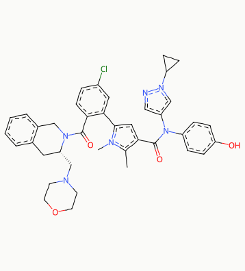 Cc1c(C(=O)N(c2ccc(O)cc2)c2cnn(C3CC3)c2)cc(-c2cc(Cl)ccc2C(=O)N2Cc3ccccc3C[C@H]2CN2CCOCC2)n1C